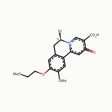 CC[C@@H]1Cc2cc(OCCOC)c(OC)cc2-c2cc(=O)c(C(=O)O)cn21